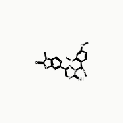 C/N=C(/c1ccc(OC)cc1OC)N1N=C(c2ccc3c(c2)oc(=O)n3C)CSC1=N